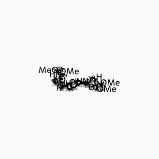 COC(=O)N[C@H](C(=O)N1CCC[C@H]1c1ncc(-c2ccc3c(c2)Cc2ccc(-c4cnc([C@@H]5CCCN5C(=O)[C@@H](NC(=O)OC)[C@@H](C)OC)[nH]4)cc2O3)[nH]1)[C@@H](C)OC